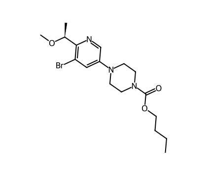 CCCCOC(=O)N1CCN(c2cnc([C@H](C)OC)c(Br)c2)CC1